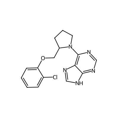 Clc1ccccc1OCC1CCCN1c1ncnc2[nH]cnc12